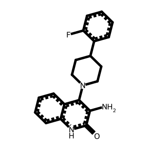 Nc1c(N2CCC(c3ccccc3F)CC2)c2ccccc2[nH]c1=O